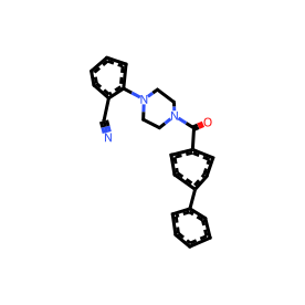 N#Cc1ccccc1N1CCN(C(=O)c2ccc(-c3ccccc3)cc2)CC1